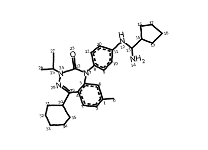 Cc1ccc2c(c1)N(c1ccc(NC(N)C3CCCC3)cc1)C(=O)N(C(C)C)N=C2C1CCCCC1